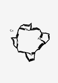 C1=CC2=NC1=CC1=NC(=CC3=NC(=CC4=NC(=C2)C=C4)C=C3)C=C1.[Cu]